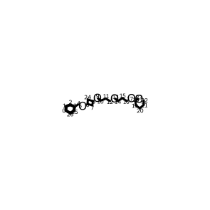 c1ccc(CO[C@H]2C[C@H](OCCCOCCCOC3CCCCO3)C2)cc1